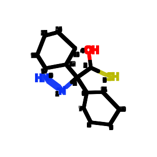 N=NC(C(O)S)(C1CCCCC1)C1CCCCC1